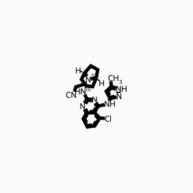 Cc1cc(Nc2nc(N[C@@H]3C[C@H]4CC[C@@H](C3)N4CCC#N)nc3cccc(Cl)c23)n[nH]1